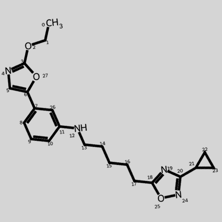 CCOc1ncc(-c2cccc(NCCCCCc3nc(C4CC4)no3)c2)o1